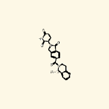 CC(C)[C@H]1c2ccccc2CCN1C(=O)c1ccc2c(c1)CN(C1CCC(=O)NC1=O)C2=O